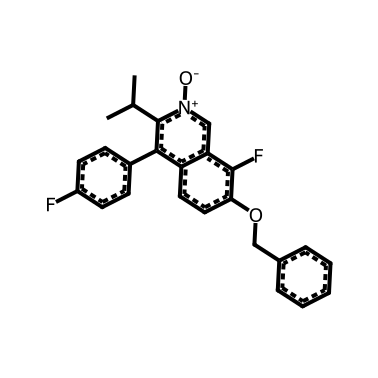 CC(C)c1c(-c2ccc(F)cc2)c2ccc(OCc3ccccc3)c(F)c2c[n+]1[O-]